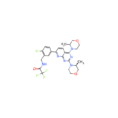 C[C@H]1COCCN1c1nc(N2CCOC[C@@H]2C)c2ccc(-c3ccc(F)c(CNC(=O)C(F)(F)F)c3)nc2n1